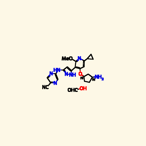 COc1nc(C2CC2)cc(O[C@@H]2CC[C@H](N)C2)c1-c1cc(Nc2cnc(C#N)cn2)n[nH]1.O=CO